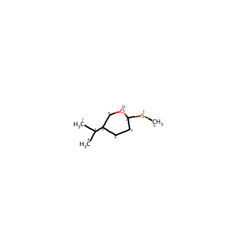 CSC1CCC(C(C)C)CO1